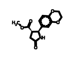 COC(=O)[C@H]1CC(=O)N[C@@H]1c1ccc2c(c1)OCCO2